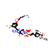 C=CCCOc1cc(C2=NC3(CCN(S(=O)(=O)CCc4ccc(C(=O)OC)cc4C)CC3)C(=O)N2)cc(C(F)(F)F)c1